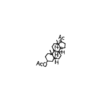 CC(=O)OC1CC[C@@]2(C)[C@@H](CC[C@@H]3[C@@H]2CC[C@]2(C)[C@@H](C(C)=O)CC[C@@H]32)C1